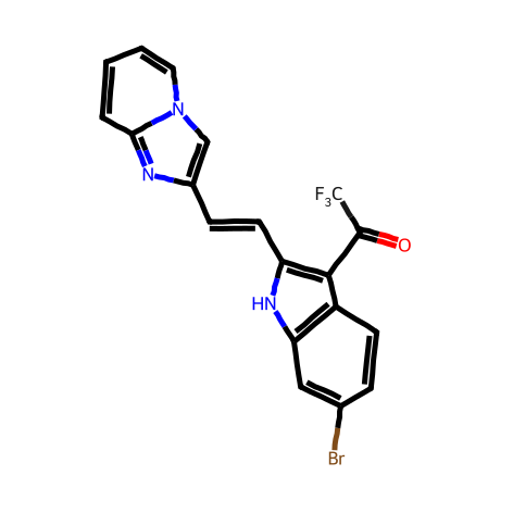 O=C(c1c(C=Cc2cn3ccccc3n2)[nH]c2cc(Br)ccc12)C(F)(F)F